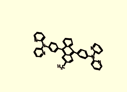 Cc1ccc2c(-c3ccc(N(c4ccccn4)c4ccccn4)cc3)c3ccccc3c(-c3ccc(N(c4ccccn4)c4ccccn4)cc3)c2c1